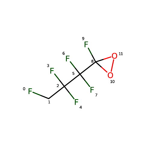 FCC(F)(F)C(F)(F)C1(F)OO1